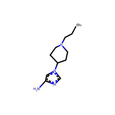 CC(C)(C)CCN1CCC(n2cnc(N)c2)CC1